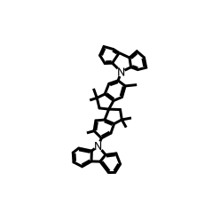 Cc1cc2c(cc1-n1c3ccccc3c3ccccc31)C(C)(C)CC21CC(C)(C)c2cc(-n3c4ccccc4c4ccccc43)c(C)cc21